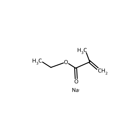 C=C(C)C(=O)OCC.[Na]